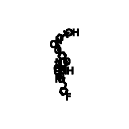 CN1C(=O)[C@@H](NC(=O)n2cc(Cc3cccc(F)c3)cn2)COc2ccc(OCC(=O)N3CCC(C(C)(C)O)C3)cc21